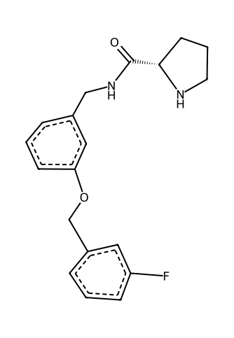 O=C(NCc1cccc(OCc2cccc(F)c2)c1)[C@@H]1CCCN1